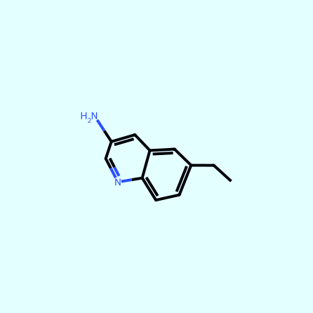 CCc1ccc2ncc(N)cc2c1